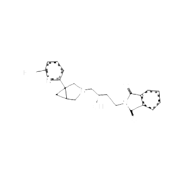 O=C1c2ccccc2C(=O)N1CC[C@@H](O)CN1CC2CC2(c2cccc(C(F)(F)F)n2)C1